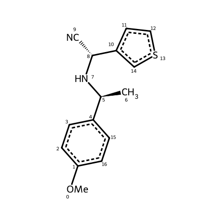 COc1ccc([C@H](C)N[C@H](C#N)c2ccsc2)cc1